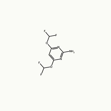 Nc1nc(OC(F)F)cc(OC(F)F)n1